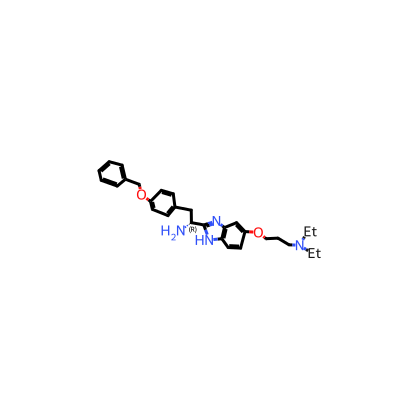 CCN(CC)CCCOc1ccc2[nH]c([C@H](N)Cc3ccc(OCc4ccccc4)cc3)nc2c1